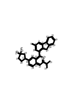 Cc1cc2c(c(-c3nc(C(C)C)cc4ccc(C5CCC(F)(F)C5)cc34)c1)Cc1ccccc1-2